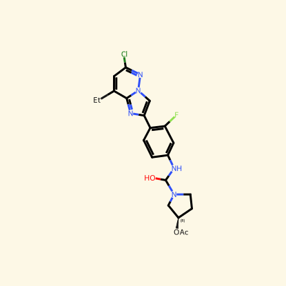 CCc1cc(Cl)nn2cc(-c3ccc(NC(O)N4CC[C@@H](OC(C)=O)C4)cc3F)nc12